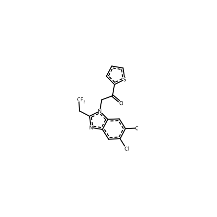 O=C(Cn1c(CC(F)(F)F)nc2cc(Cl)c(Cl)cc21)c1cccs1